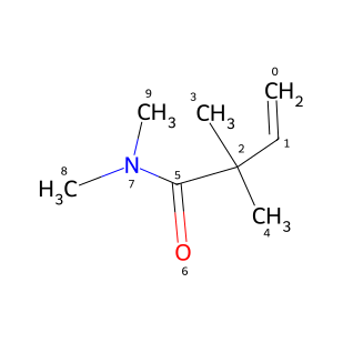 C=CC(C)(C)C(=O)N(C)C